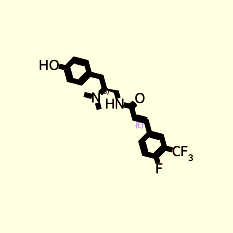 CN(C)[C@H](CNC(=O)/C=C/c1ccc(F)c(C(F)(F)F)c1)Cc1ccc(O)cc1